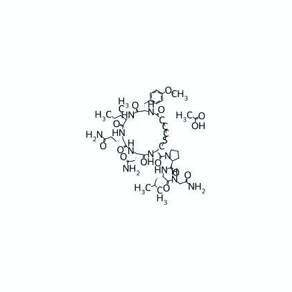 CC(=O)O.CC[C@H](C)[C@@H]1NC(=O)[C@H](Cc2ccc(OC)cc2)NC(=O)CCCSC[C@@H](C(=O)N2CCC[C@H]2C(=O)N[C@@H](CC(C)C)C(=O)NCC(N)=O)NC(=O)[C@H](CC(N)=O)NC(=O)[C@H](CCC(N)=O)NC1=O